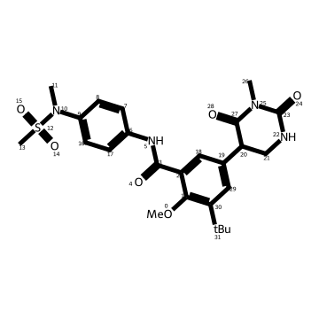 COc1c(C(=O)Nc2ccc(N(C)S(C)(=O)=O)cc2)cc(C2CNC(=O)N(C)C2=O)cc1C(C)(C)C